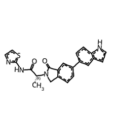 C[C@H](C(=O)Nc1nccs1)N1Cc2ccc(-c3ccc4[nH]ccc4c3)cc2C1=O